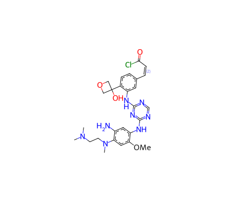 COc1cc(N(C)CCN(C)C)c(N)cc1Nc1ncnc(Nc2cc(/C=C\C(=O)Cl)ccc2C2(O)COC2)n1